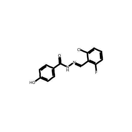 O=C(NN=Cc1c(F)cccc1Cl)c1ccc(O)cc1